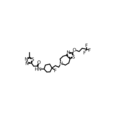 Cc1nnc(CC(=O)NC2CCC(F)(CCN3CCc4nc(OCCC(F)(F)F)sc4CC3)CC2)s1